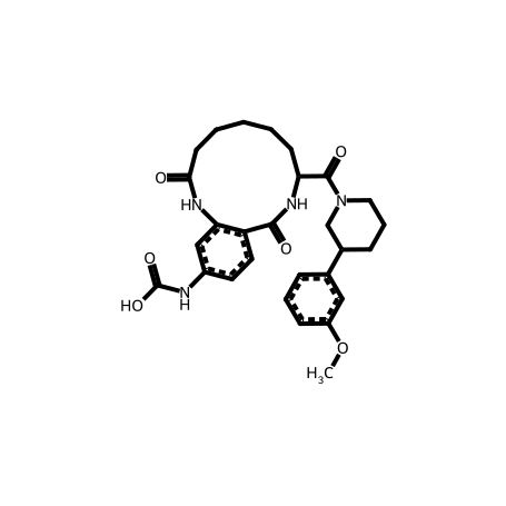 COc1cccc(C2CCCN(C(=O)C3CCCCCC(=O)Nc4cc(NC(=O)O)ccc4C(=O)N3)C2)c1